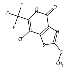 CSc1nc2c(=O)[nH]c(C(F)(F)F)c(Cl)c2s1